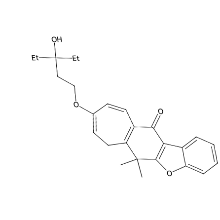 CCC(O)(CC)CCOC1=CCC2=C(C=C1)C(=O)c1c(oc3ccccc13)C2(C)C